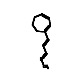 C/N=C/C=C/C1=CC=CCCC1